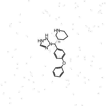 C1=NN(C(c2ccc(Oc3ccccc3)cc2)[C@H]2CCCNC2)NN1